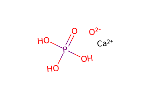 O=P(O)(O)O.[Ca+2].[O-2]